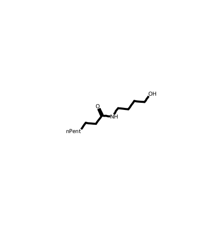 CCCCCCCC(=O)NCCCCO